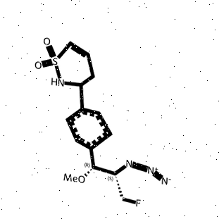 CO[C@H](c1ccc(C2CC=CS(=O)(=O)N2)cc1)[C@@H](CF)N=[N+]=[N-]